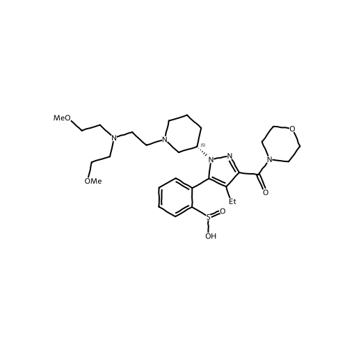 CCc1c(C(=O)N2CCOCC2)nn([C@H]2CCCN(CCN(CCOC)CCOC)C2)c1-c1ccccc1S(=O)O